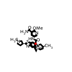 COc1ncc(NC(=O)C(=O)N2C[C@@H](C)CC[SH]23(c2ccc4sc([C@H]5CCN(C)C5)nc4c2)C=C3)cc1C(N)=O